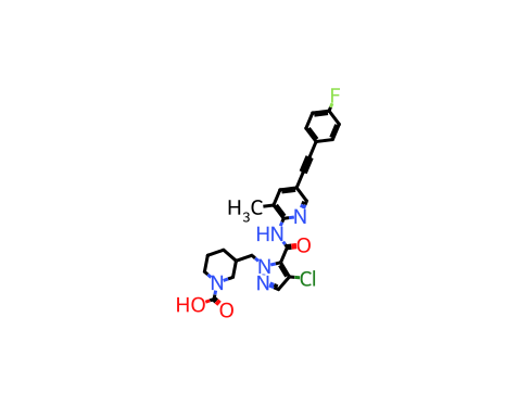 Cc1cc(C#Cc2ccc(F)cc2)cnc1NC(=O)c1c(Cl)cnn1CC1CCCN(C(=O)O)C1